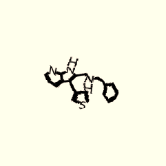 c1ccc(CNCc2[nH]c3ncccc3c2-c2ccsc2)cc1